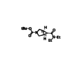 CCN(CC)C(=O)C1[C@H]2CN(C(=O)OC(C)(C)C)C[C@@H]12